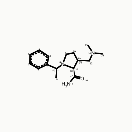 C[C@@H](c1ccccc1)N1CC[C@@H](CN(C)C)[C@H]1C(N)=O